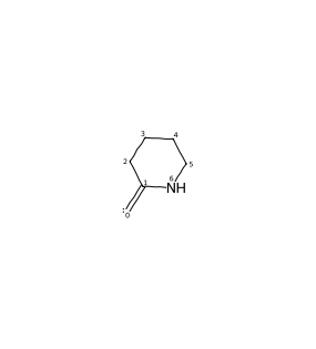 [C]=C1CCCCN1